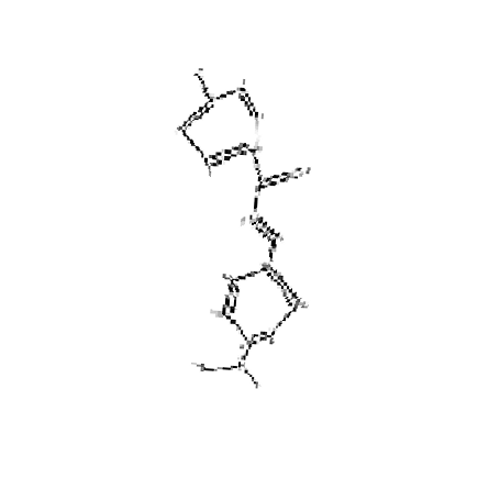 Cc1ccc(C(=O)C=Cc2ccc(N(C)C)cc2)cc1